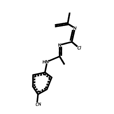 C=C(C)/N=C(Cl)\N=C(/C)Nc1ccc(C#N)cc1